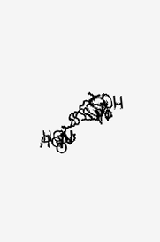 CC(C)CCCCC(CSSCC(C)C(O)N1CCCC1C(=O)O)SSCC(C)C(=O)N1CCCC1C(=O)O